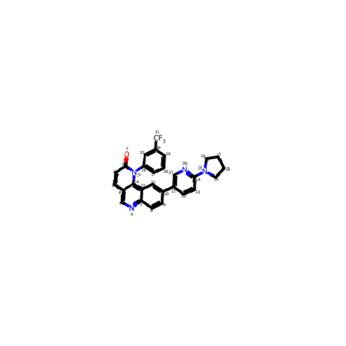 O=c1ccc2cnc3ccc(-c4ccc(N5CCCC5)nc4)cc3c2n1-c1cccc(C(F)(F)F)c1